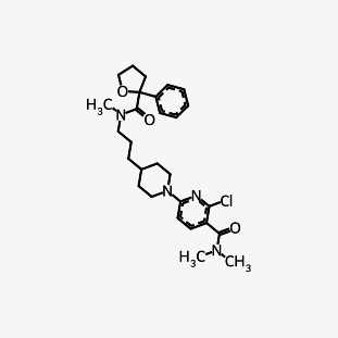 CN(C)C(=O)c1ccc(N2CCC(CCCN(C)C(=O)C3(c4ccccc4)CCCO3)CC2)nc1Cl